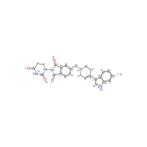 O=C1CCN(N2C(=O)c3ccc(CN4CC=C(c5c[nH]c6cc(F)ccc56)CC4)cc3C2=O)C(=O)N1